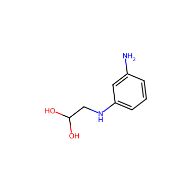 Nc1cccc(NCC(O)O)c1